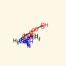 C[C@@H](Nc1cccc(NC2(c3nnc(-c4ccncc4)[nH]3)CCN(C(=O)OC(C)(C)C)CC2)c1)c1ccc(OCCCCCCOCCOCCOCCCCCC(=O)O)cc1